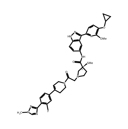 COc1nc(-c2n[nH]c3ccc(NC(=O)[C@]4(SC)CCN(CC(=O)N5CC=C(c6ccc(-c7ncn(C)n7)c(F)c6)CC5)C4)cc23)ccc1OC1CC1